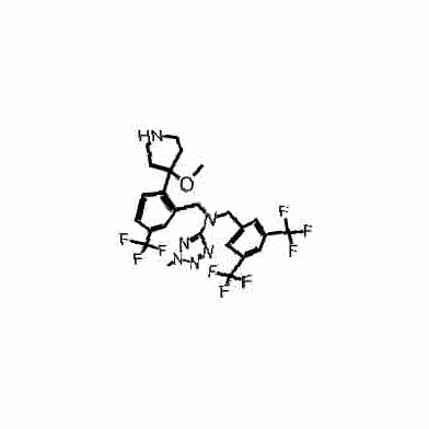 COC1(c2ccc(C(F)(F)F)cc2CN(Cc2cc(C(F)(F)F)cc(C(F)(F)F)c2)c2nnn(C)n2)CCNCC1